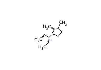 C=C/C(=C\C)N1CCC(C)C1=C